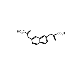 C=C(Cc1ccc2ccc(CC(=C)C(=O)O)cc2c1)C(=O)O